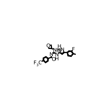 Cc1ccc(-c2cc(N/C(=N\C(=O)c3ccc(C(F)(F)F)cc3)NC3COC3)[nH]n2)cc1F